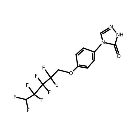 O=c1[nH]ncn1-c1ccc(OCC(F)(F)C(F)(F)C(F)(F)C(F)F)cc1